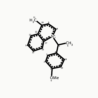 COc1ccc(C(C)[n+]2ccc(C)c3ccccc32)cc1